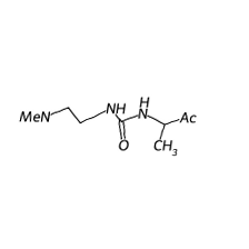 CNCCNC(=O)NC(C)C(C)=O